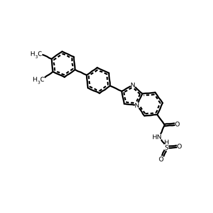 Cc1ccc(-c2ccc(-c3cn4cc(C(=O)N[SH](=O)=O)ccc4n3)cc2)cc1C